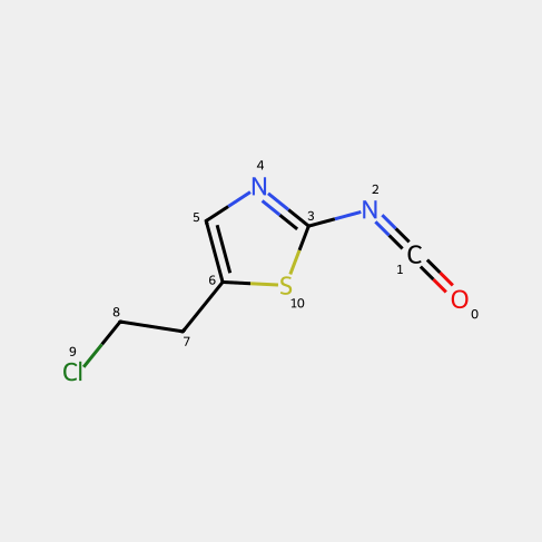 O=C=Nc1ncc(CCCl)s1